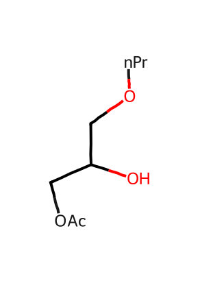 CCCOCC(O)COC(C)=O